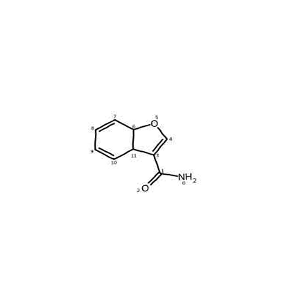 NC(=O)C1=COC2C=CC=CC12